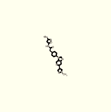 Cn1cc(-c2cc3ncn(-c4ccc(CC(=O)Nc5cc(C(C)(C)C)no5)cc4)c3cn2)cn1